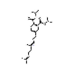 CC(C)=CCC/C(C)=C/CCC1=CCC(C(=O)OC(C)C)=C(C(=O)OC(C)C)C1